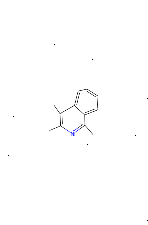 Cc1nc(C)c2ccccc2c1C